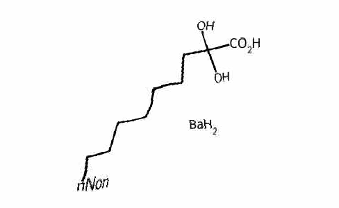 CCCCCCCCCCCCCCCCC(O)(O)C(=O)O.[BaH2]